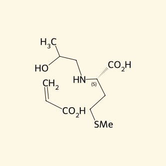 C=CC(=O)O.CSCC[C@H](NCC(C)O)C(=O)O